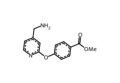 COC(=O)c1ccc(Oc2cc(CN)ccn2)cc1